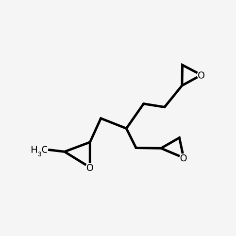 CC1OC1CC(CCC1CO1)CC1CO1